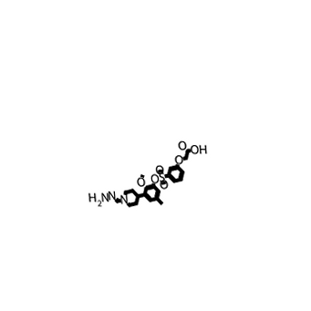 COc1c(OS(=O)(=O)c2cccc(OCC(=O)O)c2)cc(C)cc1C1CCN(C=NN)CC1